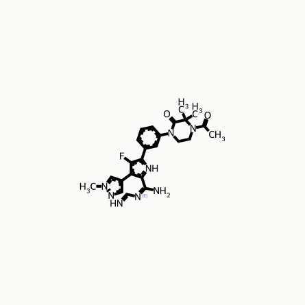 CC(=O)N1CCN(c2cccc(-c3[nH]c(/C(N)=N\C=N)c(-c4cnn(C)c4)c3F)c2)C(=O)C1(C)C